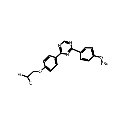 CCCCOc1ccc(-c2ncnc(-c3ccc(OCC(O)CC)cc3)n2)cc1